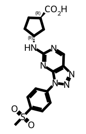 CS(=O)(=O)c1ccc(-n2nnc3cnc(N[C@@H]4CC[C@@H](C(=O)O)C4)nc32)cc1